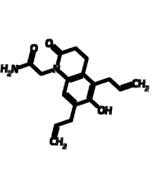 C=CCc1cc2c(c(CC=C)c1O)CCC(=O)N2CC(N)=O